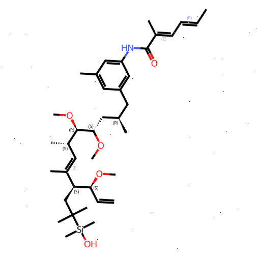 C=C[C@H](OC)[C@@H](CC(C)(C)[Si](C)(C)O)/C(C)=C/[C@H](C)[C@@H](OC)[C@H](C[C@H](C)Cc1cc(C)cc(NC(=O)/C(C)=C/C=C/C)c1)OC